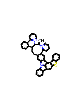 C=C1C2C(CCc3cc4c(cc3-c3cccc[n+]31)c1c3c(cc5c6ccccc6n4c51)sc1ccccc13)c1ccccc1-c1cccc[n+]12